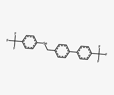 FC(F)(F)c1ccc([Se]Cc2ccc(-c3ccc(C(F)(F)F)cc3)cc2)cc1